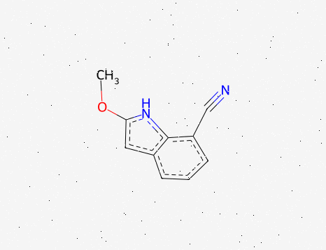 COc1cc2cccc(C#N)c2[nH]1